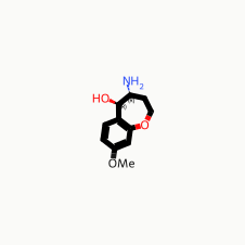 COc1ccc2c(c1)OCC[C@@H](N)[C@@H]2O